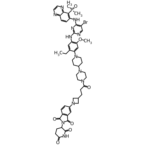 CCc1cc(Nc2ncc(Br)c(Nc3ccc4nccnc4c3P(C)(C)=O)n2)c(OC)cc1N1CCC(N2CCN(C(=O)CCC3CN(c4ccc5c(c4)C(=O)N(C4CCC(=O)NC4=O)C5=O)C3)CC2)CC1